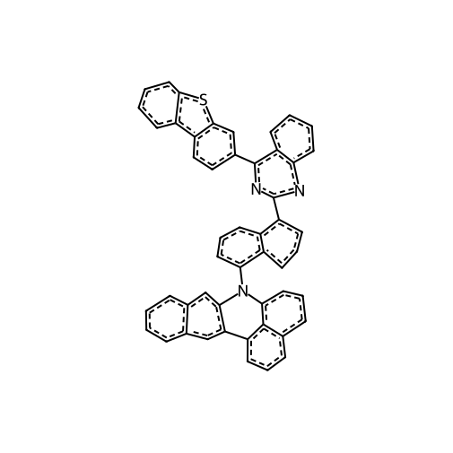 c1ccc2cc3c(cc2c1)-c1cccc2cccc(c12)N3c1cccc2c(-c3nc(-c4ccc5c(c4)sc4ccccc45)c4ccccc4n3)cccc12